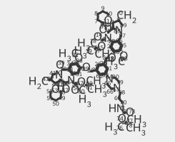 C=C1C[C@H]2[C@H](OC3CCCCO3)N(C(=O)OC(C)(C)C)c3cc(OCc4cc(COc5cc6c(cc5OC)C(=O)N5CC(=C)C[C@H]5C(OC5CCCCO5)N6C(=O)OC(C)(C)C)cc(N5CCN(CCCNC(=O)OC(C)(C)C)CC5)c4)c(OC)cc3CN2C1